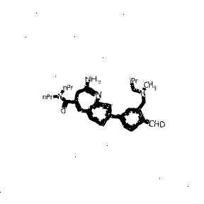 CCCN(CCC)C(=O)C1=Cc2ccc(-c3ccc(C=O)c(CN(C)CC(C)C)c3)cc2N=C(N)C1